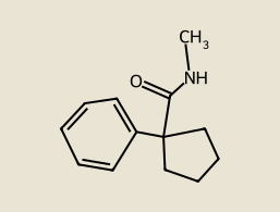 CNC(=O)C1(c2ccccc2)CCCC1